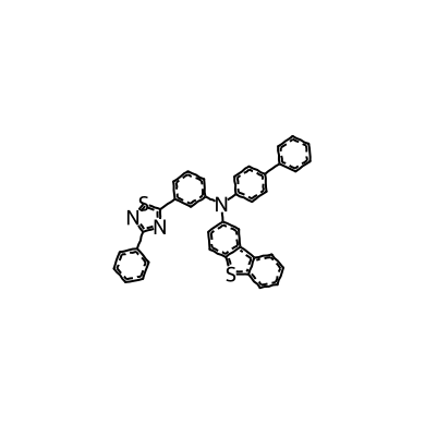 c1ccc(-c2ccc(N(c3cccc(-c4nc(-c5ccccc5)ns4)c3)c3ccc4sc5ccccc5c4c3)cc2)cc1